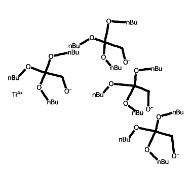 CCCCOC(C[O-])(OCCCC)OCCCC.CCCCOC(C[O-])(OCCCC)OCCCC.CCCCOC(C[O-])(OCCCC)OCCCC.CCCCOC(C[O-])(OCCCC)OCCCC.[Ti+4]